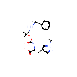 C[C@@H](N)c1ccccc1.[2H]C([2H])([2H])n1cc(C[C@@H](NC(=O)OC(C)(C)C)C(=O)O)cn1